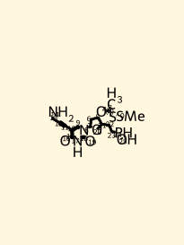 CSS[C@H](C)OC1CC(n2cc(C#CCN)c(=O)[nH]c2=O)OC1CCPO